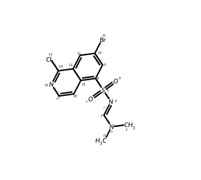 CN(C)/C=N/S(=O)(=O)c1cc(Br)cc2c(Cl)nccc12